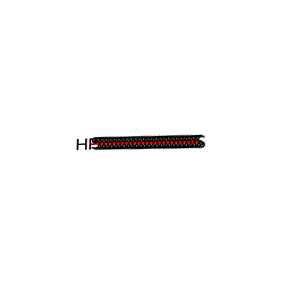 P=S=S=S=S=S=S=S=S=S=S=S=S=S=S=S=S=S=S=S=S=S=S=S=S=S=S=S=S=S=S=S=S=S=S=S=S=S=S=S=S=S=S=S=S=S=S=S=S=S=S=S=S